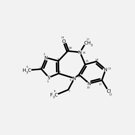 Cc1nc2c(s1)N(CC(F)(F)F)c1nc(Cl)ncc1N(C)C2=O